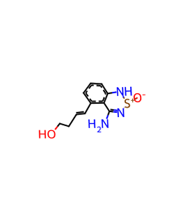 NC1=N[S+]([O-])Nc2cccc(/C=C/CCO)c21